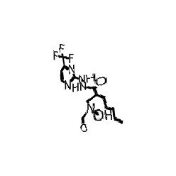 CCCCCC(CN(O)C=O)C(=O)NNc1nccc(C(F)(F)F)n1